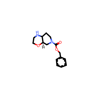 O=C(OCc1ccccc1)N1CCC2NCCO[C@@H]2C1